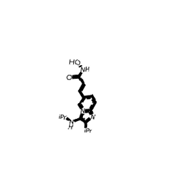 CC(C)Nc1c(C(C)C)nc2ccc(/C=C/C(=O)NO)cn12